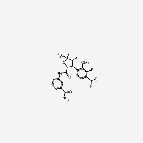 COc1c([C@H]2[C@@H](C(=O)Nc3ccnc(C(N)=O)c3)O[C@@](C)(C(F)(F)F)[C@H]2C)ccc(C(F)F)c1F